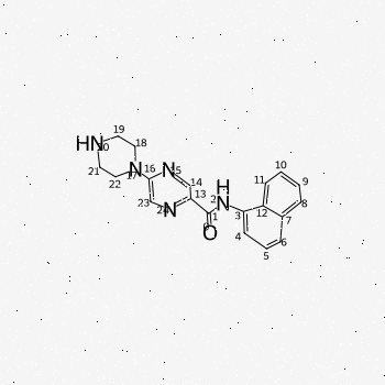 O=C(Nc1cccc2ccccc12)c1cnc(N2CCNCC2)cn1